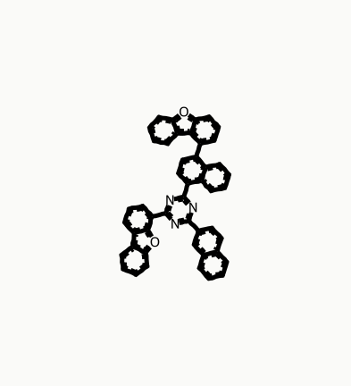 c1ccc2cc(-c3nc(-c4ccc(-c5cccc6oc7ccccc7c56)c5ccccc45)nc(-c4cccc5c4oc4ccccc45)n3)ccc2c1